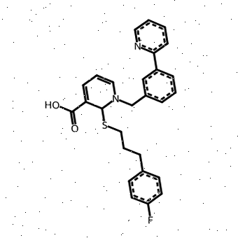 O=C(O)C1=CC=CN(Cc2cccc(-c3ccccn3)c2)C1SCCCc1ccc(F)cc1